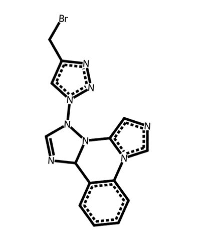 BrCc1cn(N2C=NC3c4ccccc4-n4cncc4N32)nn1